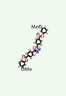 COc1cccc(OC(=O)c2ccc(-c3nnc(-c4ccc(C(=O)Oc5cccc(OC)c5)cc4)o3)cc2)c1